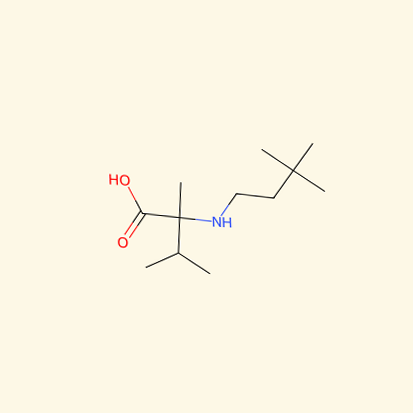 CC(C)C(C)(NCCC(C)(C)C)C(=O)O